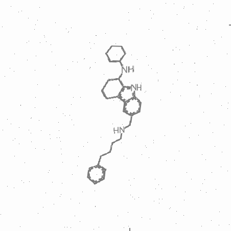 c1ccc(CCCCNCc2ccc3[nH]c4c(c3c2)CCCC4NC2CCCCC2)cc1